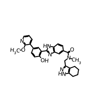 COc1ncccc1-c1ccc(O)c(-c2nc3cc(C(=O)N(C)Cc4n[nH]c5c4CCCC5)ccc3[nH]2)c1